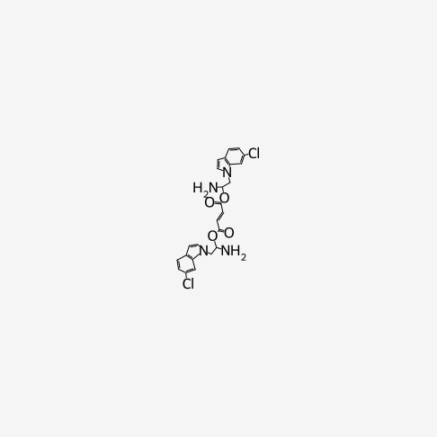 NC(Cn1ccc2ccc(Cl)cc21)OC(=O)/C=C/C(=O)OC(N)Cn1ccc2ccc(Cl)cc21